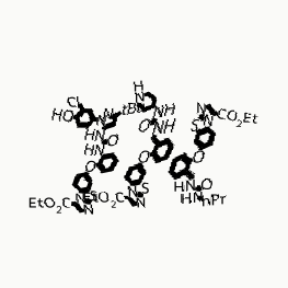 CCCNC(=O)NCc1ccccc1Oc1ccc2c(c1)sc1ncc(C(=O)OCC)n12.CCOC(=O)c1cnc2sc3cc(Oc4ccccc4CNC(=O)NC4CCNCC4)ccc3n12.CCOC(=O)c1cnc2sc3cc(Oc4ccccc4NC(=O)Nc4cc(C(C)(C)C)nn4-c4ccc(O)c(Cl)c4)ccc3n12